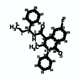 CC[C@H](NC(=O)c1c(C)n(-c2ccccc2)c(=O)c2ccc(F)cc12)c1ccccc1